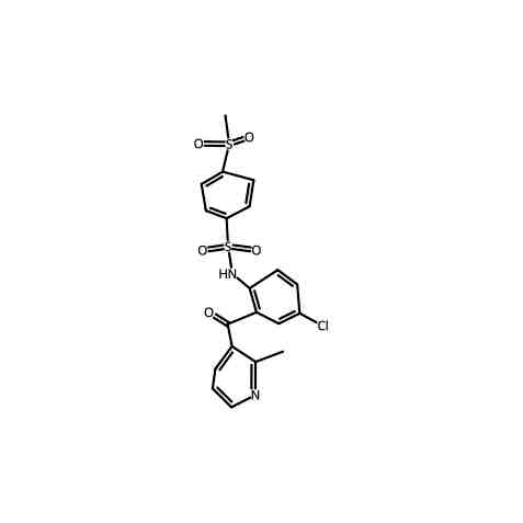 Cc1ncccc1C(=O)c1cc(Cl)ccc1NS(=O)(=O)c1ccc(S(C)(=O)=O)cc1